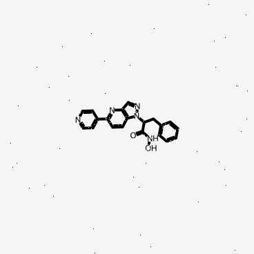 O=C(NO)C(Cc1ccccc1)n1ncc2nc(-c3ccncc3)ccc21